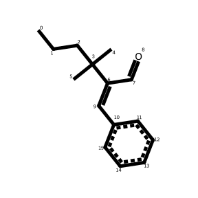 CCCC(C)(C)C(C=O)=Cc1ccccc1